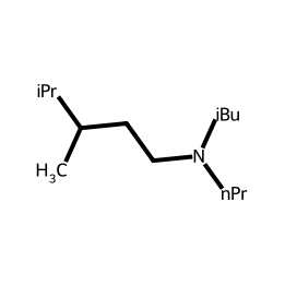 CCCN(CCC(C)C(C)C)C(C)CC